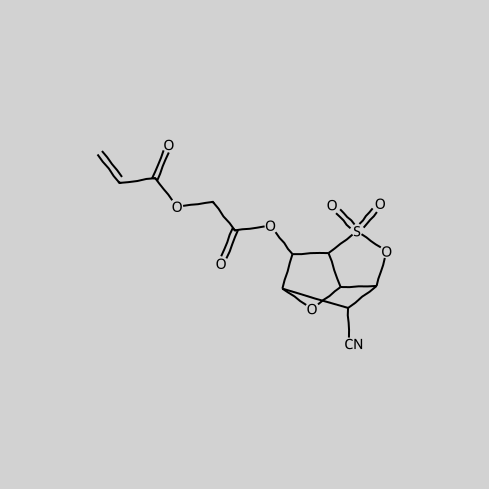 C=CC(=O)OCC(=O)OC1C2OC3C(OS(=O)(=O)C13)C2C#N